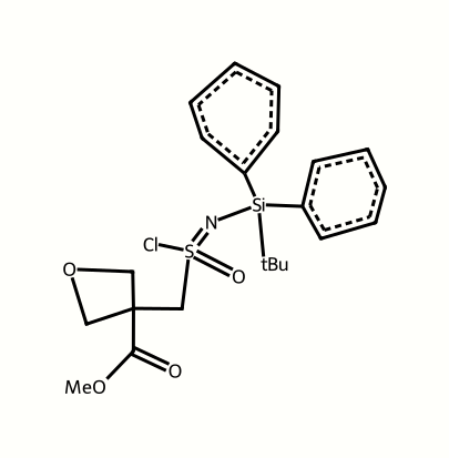 COC(=O)C1(CS(=O)(Cl)=N[Si](c2ccccc2)(c2ccccc2)C(C)(C)C)COC1